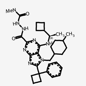 CNC(=O)NNC(=O)c1nc(N[C@H](C)C2CCC2)c2c(n1)nc(C1(c3ccccc3)CCC1)n2CC1CCC(C)CC1